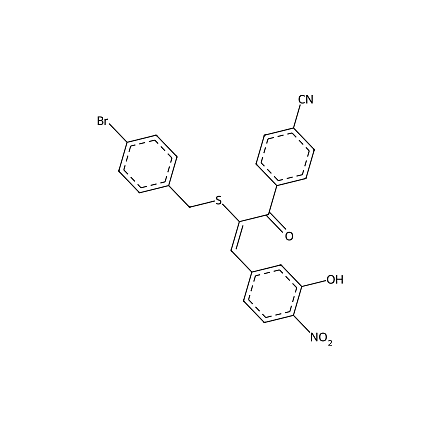 N#Cc1ccc(C(=O)/C(=C\c2ccc([N+](=O)[O-])c(O)c2)SCc2ccc(Br)cc2)cc1